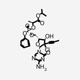 CC#CC1(Cl)[C@@H](O)[C@@H](CO[P@](=O)(Oc2ccccc2)O[C@@H](C)C(=O)OC(C)C)O[C@H]1n1cnc(N)nc1=O